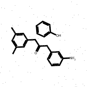 Cc1cc(C)cc(CC(=O)Cc2cccc(N)c2)c1.Oc1ccccc1